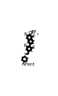 CCCCC[C@H]1CC[C@H](CCc2cc(F)c(-c3ccc4c(F)c(OC(F)(F)F)c(F)cc4c3)c(F)c2)CC1